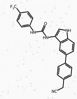 N#CCc1ccc(-c2ccc3[nH]cc(NC(=O)Nc4ccc(C(F)(F)F)cc4)c3c2)cc1